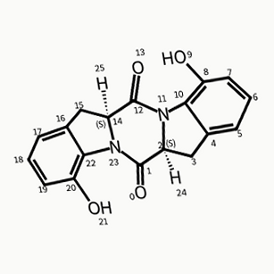 O=C1[C@@H]2Cc3cccc(O)c3N2C(=O)[C@@H]2Cc3cccc(O)c3N12